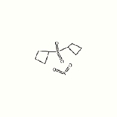 O=S(=O)(C1CCC1)C1CCC1.O=S=O